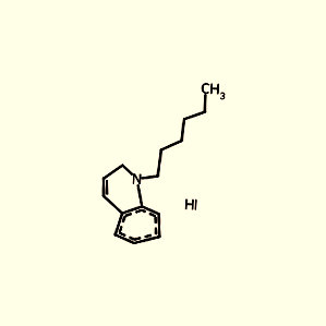 CCCCCCN1CC=Cc2ccccc21.I